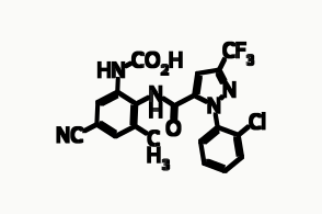 Cc1cc(C#N)cc(NC(=O)O)c1NC(=O)c1cc(C(F)(F)F)nn1-c1ccccc1Cl